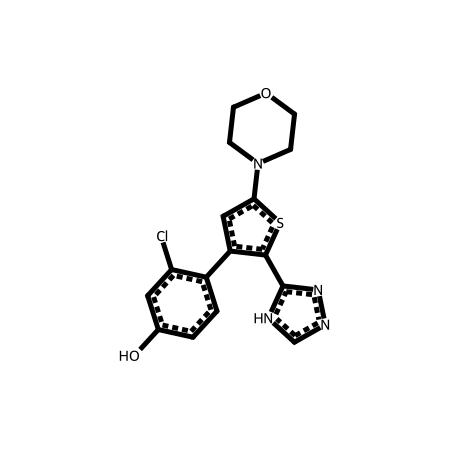 Oc1ccc(-c2cc(N3CCOCC3)sc2-c2nnc[nH]2)c(Cl)c1